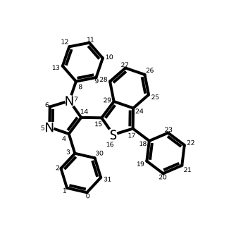 c1ccc(-c2ncn(-c3ccccc3)c2-c2sc(-c3ccccc3)c3ccccc23)cc1